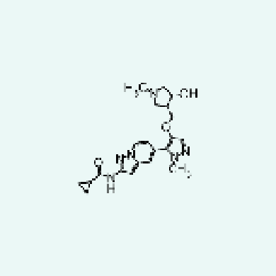 CN1C[C@H](COc2cnn(C)c2-c2ccn3nc(NC(=O)C4CC4)cc3c2)[C@@H](O)C1